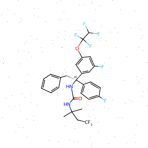 CC(C)(CC(F)(F)F)NC(=O)N[C@](Cc1ccccc1)(c1ccc(F)cc1)c1cc(F)cc(OC(F)(F)C(F)F)c1